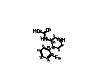 O=C(O)N[C@H]1CNCC[C@@H]1c1ccccc1F